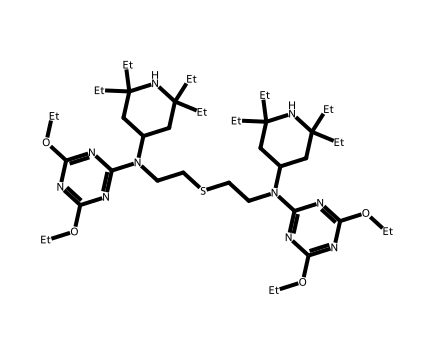 CCOc1nc(OCC)nc(N(CCSCCN(c2nc(OCC)nc(OCC)n2)C2CC(CC)(CC)NC(CC)(CC)C2)C2CC(CC)(CC)NC(CC)(CC)C2)n1